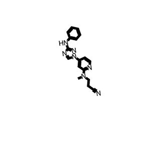 CN(CCC#N)c1cc(-n2cnc(Nc3ccccc3)n2)ccn1